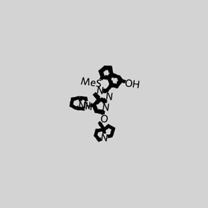 CSc1cccc2cc(O)cc(-c3ncc4c(N5CC6CCC(C5)N6)cc(OCC56CCCN5CCC6)nc4n3)c12